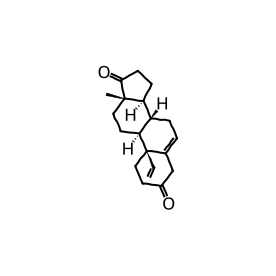 C=C[C@]12CCC(=O)CC1=CC[C@@H]1[C@@H]2CC[C@]2(C)C(=O)CC[C@@H]12